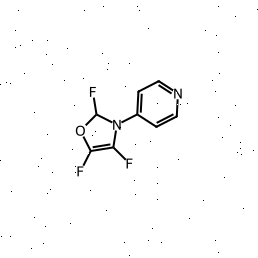 FC1=C(F)N(c2ccncc2)C(F)O1